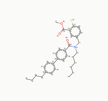 CCCCCCN(Cc1ccc(F)c(C(=O)OC)c1)C(=O)c1ccc(-c2ccc(CCCC)cc2)cc1